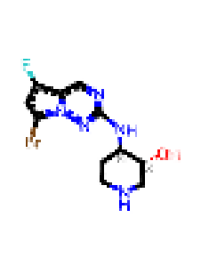 O[C@@H]1CNCC[C@H]1Nc1ncc2c(F)cc(Br)n2n1